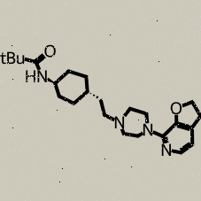 CC(C)(C)C(=O)N[C@H]1CC[C@H](CCN2CCN(c3nccc4c3OCC4)CC2)CC1